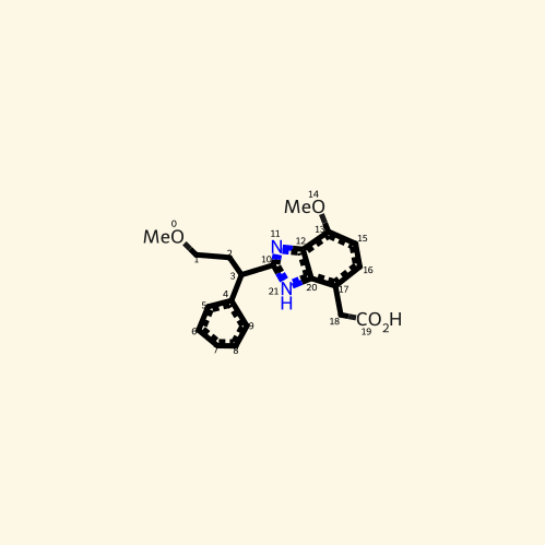 COCCC(c1ccccc1)c1nc2c(OC)ccc(CC(=O)O)c2[nH]1